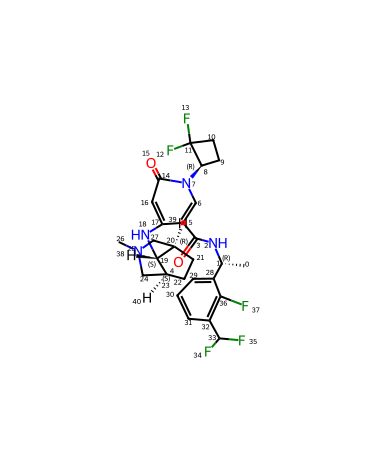 C[C@@H](NC(=O)c1cn([C@@H]2CCC2(F)F)c(=O)cc1N[C@@H]1[C@@H]2CC[C@H]1CN(C)C2)c1cccc(C(F)F)c1F